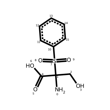 NC(CO)(C(=O)O)S(=O)(=O)c1ccccc1